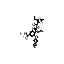 CCCn1c(NC(=O)c2oc(C)nc2CC)nc2cc(C(N)=O)cc(OC3CC4(COC4)C3)c21